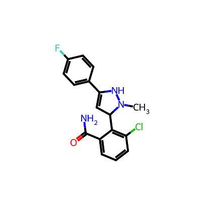 CN1NC(c2ccc(F)cc2)=CC1c1c(Cl)cccc1C(N)=O